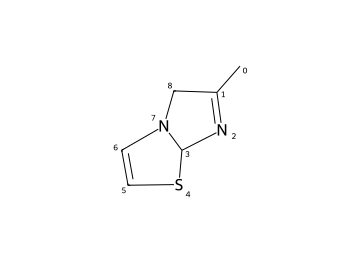 CC1=NC2SC=CN2C1